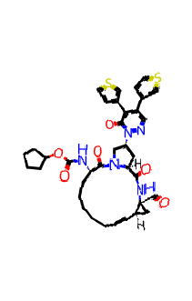 O=C[C@@]12C[C@H]1/C=C\CCCCC[C@H](NC(=O)OC1CCCC1)C(=O)N1C[C@H](n3ncc(-c4ccsc4)c(-c4ccsc4)c3=O)C[C@H]1C(=O)N2